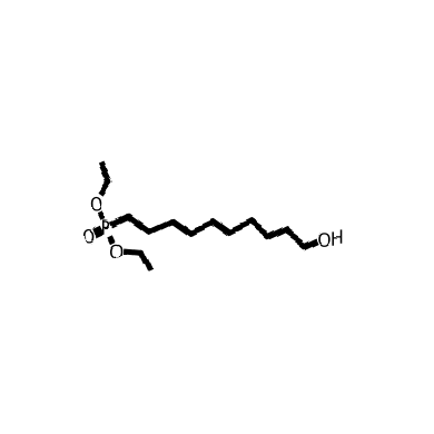 CCOP(=O)(CCCCCCCCCCO)OCC